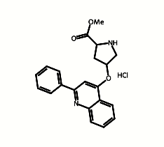 COC(=O)C1CC(Oc2cc(-c3ccccc3)nc3ccccc23)CN1.Cl